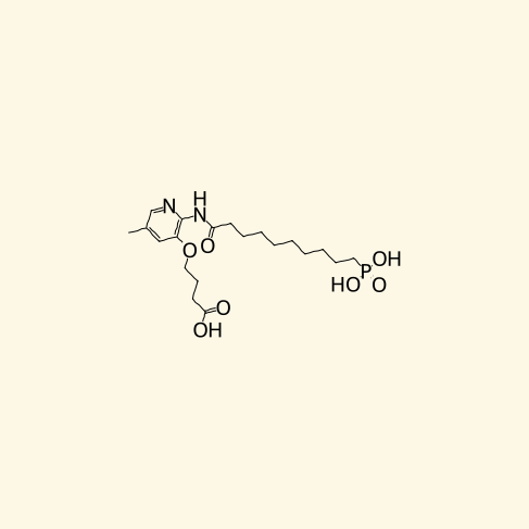 Cc1cnc(NC(=O)CCCCCCCCCP(=O)(O)O)c(OCCCC(=O)O)c1